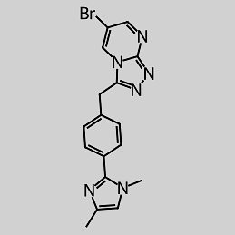 Cc1cn(C)c(-c2ccc(Cc3nnc4ncc(Br)cn34)cc2)n1